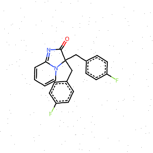 O=C1N=C2C=CC=CN2C1(Cc1ccc(F)cc1)Cc1ccc(F)cc1